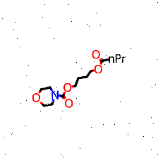 CCCC(=O)OCCCCOC(=O)N1CCOCC1